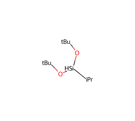 CC(C)[SiH](OC(C)(C)C)OC(C)(C)C